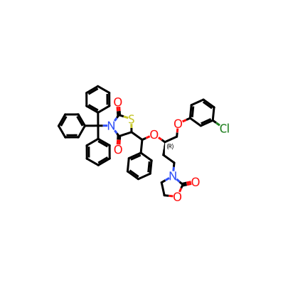 O=C1OCCN1CC[C@H](COc1cccc(Cl)c1)OC(c1ccccc1)C1SC(=O)N(C(c2ccccc2)(c2ccccc2)c2ccccc2)C1=O